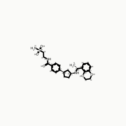 C[C@@H](N[C@H]1CC[C@@H](c2ccc(C(=O)NCCS(N)(=O)=O)cc2)C1)c1cccc2c1OCCO2